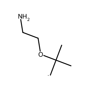 [CH2]C(C)(C)OCCN